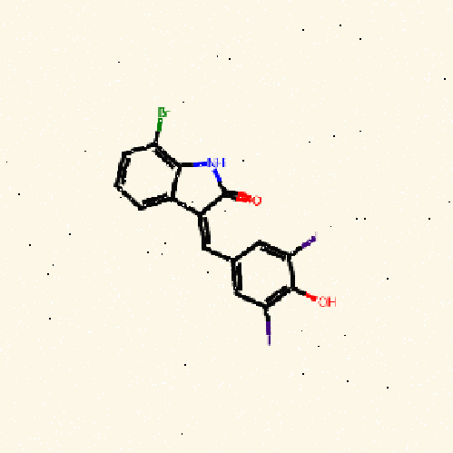 O=C1Nc2c(Br)cccc2C1=Cc1cc(I)c(O)c(I)c1